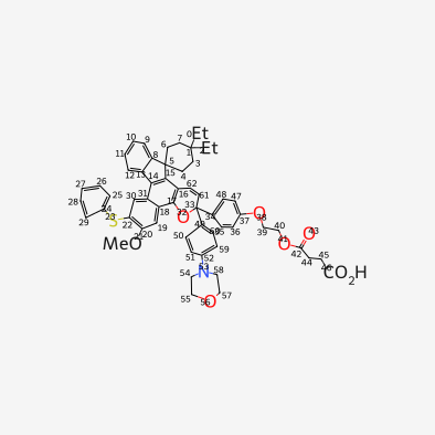 CCC1(CC)CCC2(CC1)c1ccccc1-c1c2c2c(c3cc(OC)c(Sc4ccccc4)cc13)OC(c1ccc(OCCOC(=O)CCC(=O)O)cc1)(c1ccc(N3CCOCC3)cc1)C=C2